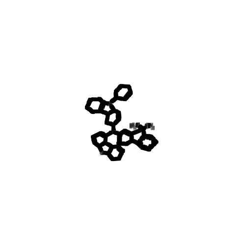 CC1(C)C2=CC(N(C3=CC=CC4OC5CCC=CC5C34)C3C=CC4C(C3)C3=C(CCCC3)N4C3C=CCCC3)=CCC2c2ccccc21